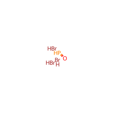 Br.Br.Br.O=P